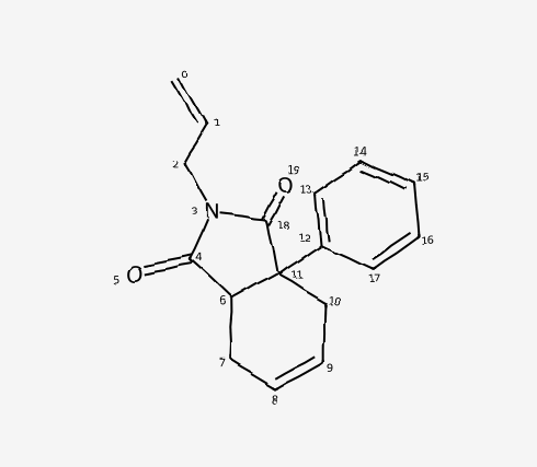 C=CCN1C(=O)C2CC=CCC2(c2ccccc2)C1=O